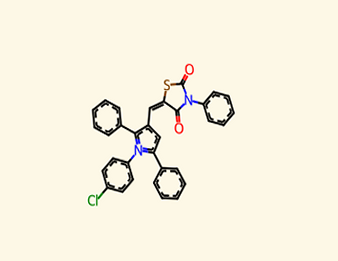 O=C1S/C(=C/c2cc(-c3ccccc3)n(-c3ccc(Cl)cc3)c2-c2ccccc2)C(=O)N1c1ccccc1